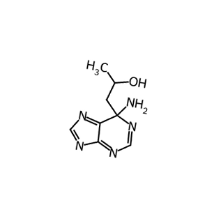 CC(O)CC1(N)N=CN=C2N=CN=C21